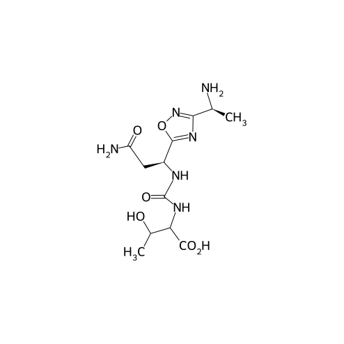 CC(O)C(NC(=O)N[C@@H](CC(N)=O)c1nc([C@H](C)N)no1)C(=O)O